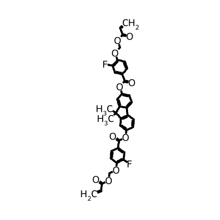 C=CC(=O)OCOc1ccc(C(=O)Oc2ccc3c(c2)C(C)(C)c2cc(OC(=O)c4ccc(OCOC(=O)C=C)c(F)c4)ccc2-3)cc1F